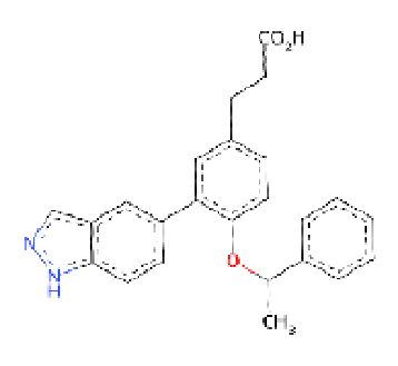 CC(Oc1ccc(CCC(=O)O)cc1-c1ccc2[nH]ncc2c1)c1ccccc1